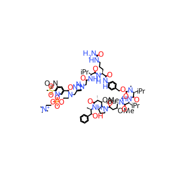 CC[C@H](C)[C@@H]([C@@H](CC(=O)N1CCC[C@H]1[C@H](OC)[C@@H](C)C(=O)N[C@H](C)[C@@H](O)c1ccccc1)OC)N(C)C(=O)[C@@H](NC(=O)[C@H](C(C)C)N(C)C(=O)OCc1ccc(NC(=O)[C@H](CCCNC(N)=O)NC(=O)[C@@H](NC(=O)Cn2cc(CN(CCOP(=O)([O-])OCC[N+](C)(C)C)C(=O)c3cnc(S(C)(=O)=O)c([N+](=O)[O-])c3)nn2)C(C)C)cc1)C(C)C